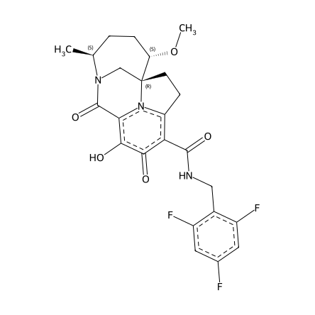 CO[C@H]1CC[C@H](C)N2C[C@]13CCc1c(C(=O)NCc4c(F)cc(F)cc4F)c(=O)c(O)c(n13)C2=O